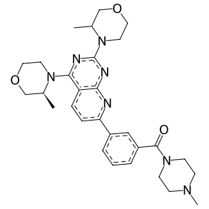 CC1COCCN1c1nc(N2CCOC[C@@H]2C)c2ccc(-c3cccc(C(=O)N4CCN(C)CC4)c3)nc2n1